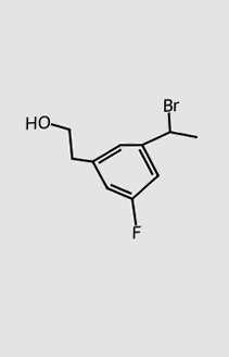 CC(Br)c1cc(F)cc(CCO)c1